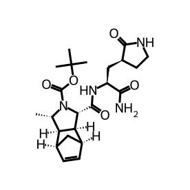 C[C@H]1[C@H]2[C@@H]([C@@H](C(=O)N[C@@H](C[C@@H]3CCNC3=O)C(N)=O)N1C(=O)OC(C)(C)C)[C@H]1C=C[C@@H]2C1